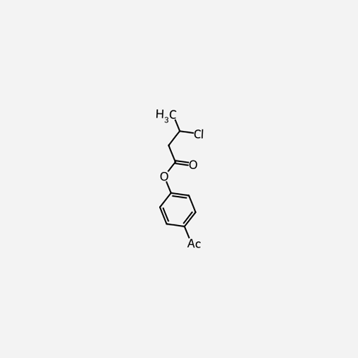 CC(=O)c1ccc(OC(=O)CC(C)Cl)cc1